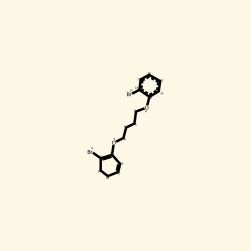 BrC1=C(OCCCCOc2ccccc2Br)C=CCC1